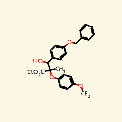 CCOC(=O)C(C)(Oc1ccc(OC(F)(F)F)cc1)C(O)c1ccc(OCc2ccccc2)cc1